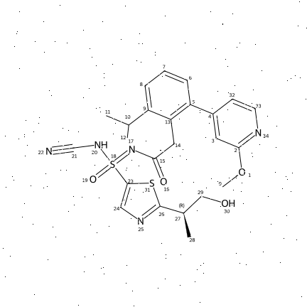 COc1cc(-c2cccc(C(C)C)c2CC(=O)N=S(=O)(NC#N)c2cnc([C@H](C)CO)s2)ccn1